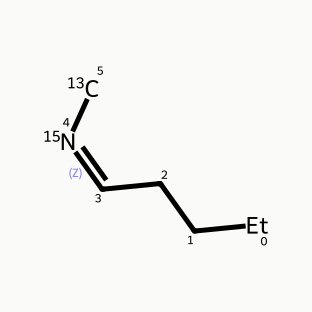 [13CH3]CCC/C=[15N]\[13CH3]